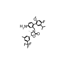 COc1cc(F)c(C(C)C)cc1-c1ccc(N)cc1CN1C(=O)O[C@H](c2cc(C)cc(C(F)(F)F)c2)[C@@H]1C